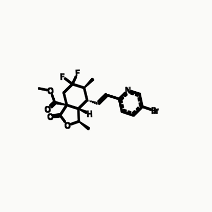 COC(=O)[C@@]12CC(F)(F)[C@@H](C)[C@H](C=Cc3ccc(Br)cn3)[C@@H]1[C@@H](C)OC2=O